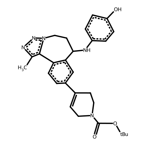 Cc1nnn2c1-c1ccc(C3=CCN(C(=O)OC(C)(C)C)CC3)cc1C(Nc1ccc(O)cc1)CC2